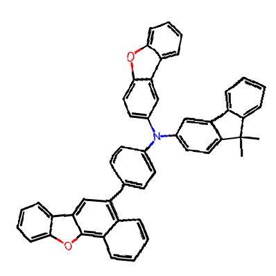 CC1(C)c2ccccc2-c2cc(N(c3ccc(-c4cc5c6ccccc6oc5c5ccccc45)cc3)c3ccc4oc5ccccc5c4c3)ccc21